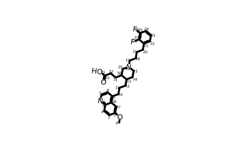 COc1ccc2nccc(CCCC3CCN(CCCCc4cccc(F)c4F)CC3CCC(=O)O)c2c1